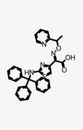 CC(ON=C(C(=O)O)c1csc(NC(c2ccccc2)(c2ccccc2)c2ccccc2)n1)c1ccccn1